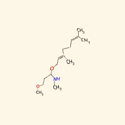 CNC(CCOC)OC/C=C(\C)CCC=C(C)C